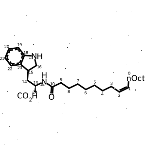 CCCCCCCC/C=C\CCCCCCCC(=O)N[C@H](CC1CNc2ccccc21)C(=O)O